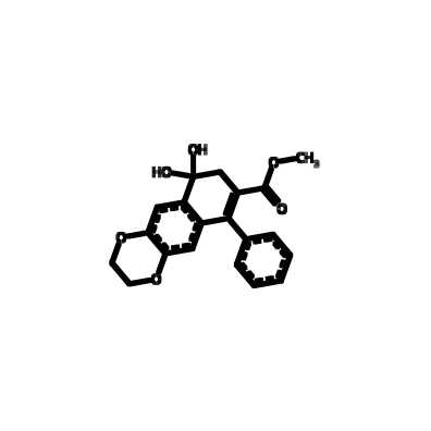 COC(=O)C1=C(c2ccccc2)c2cc3c(cc2C(O)(O)C1)OCCO3